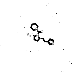 C[C@@H]1CC[C@H](CCc2ccsc2)N1C(=O)N1CCCCC1